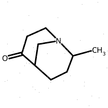 CC1CCC2CN1CCC2=O